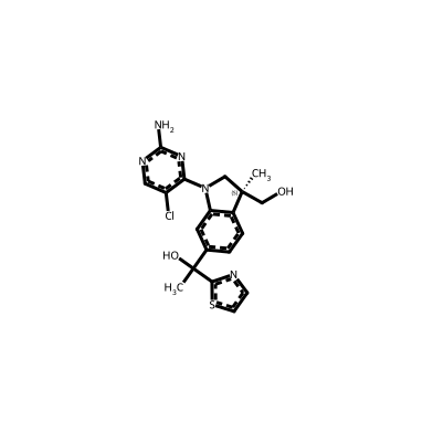 CC(O)(c1ccc2c(c1)N(c1nc(N)ncc1Cl)C[C@@]2(C)CO)c1nccs1